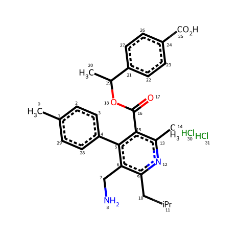 Cc1ccc(-c2c(CN)c(CC(C)C)nc(C)c2C(=O)OC(C)c2ccc(C(=O)O)cc2)cc1.Cl.Cl